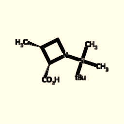 C[C@@H]1CN([Si](C)(C)C(C)(C)C)[C@@H]1C(=O)O